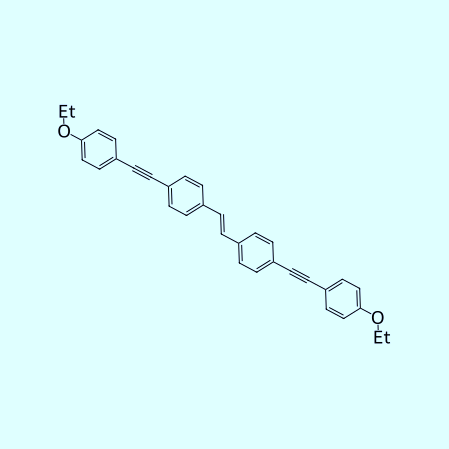 CCOc1ccc(C#Cc2ccc(/C=C/c3ccc(C#Cc4ccc(OCC)cc4)cc3)cc2)cc1